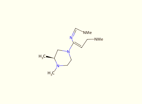 CN/C=N\C(=C/CNC)N1CCN(C)[C@@H](C)C1